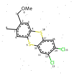 COCc1cc2c(cc1C)Sc1cc(Cl)c(Cl)cc1S2